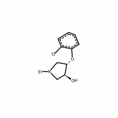 CCN1C[C@H](Oc2ccccc2Cl)[C@@H](O)C1